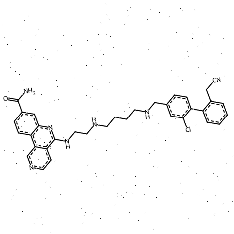 N#CCc1ccccc1-c1ccc(CNCCCCNCCNc2nc3cc(C(N)=O)ccc3c3cnccc23)cc1Cl